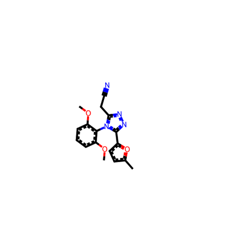 COc1cccc(OC)c1-n1c(CC#N)nnc1-c1ccc(C)o1